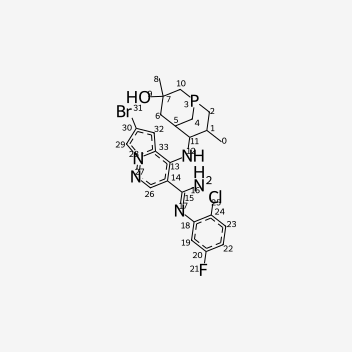 CC1CP2CC(CC(C)(O)C2)C1Nc1c(/C(N)=N/c2cc(F)ccc2Cl)cnn2cc(Br)cc12